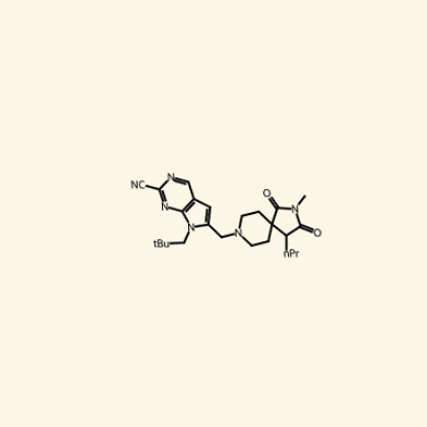 CCCC1C(=O)N(C)C(=O)C12CCN(Cc1cc3cnc(C#N)nc3n1CC(C)(C)C)CC2